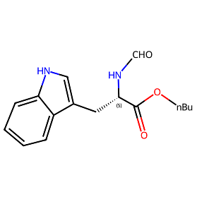 CCCCOC(=O)[C@H](Cc1c[nH]c2ccccc12)NC=O